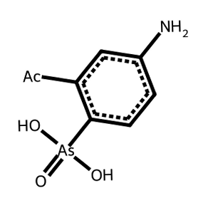 CC(=O)c1cc(N)ccc1[As](=O)(O)O